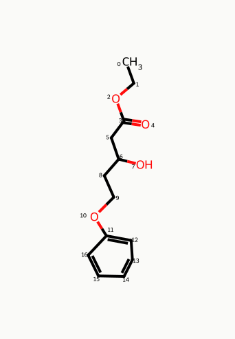 CCOC(=O)CC(O)CCOc1ccccc1